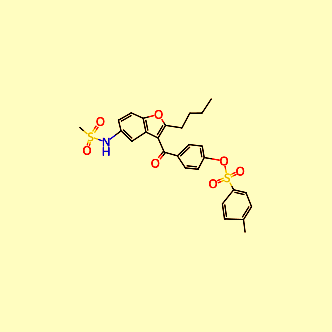 CCCCc1oc2ccc(NS(C)(=O)=O)cc2c1C(=O)c1ccc(OS(=O)(=O)c2ccc(C)cc2)cc1